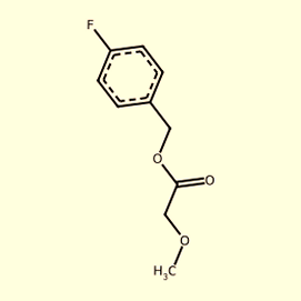 COCC(=O)OCc1ccc(F)cc1